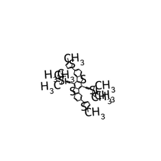 CC[Si](C#Cc1c2sc3ccc(-c4ccc(C)s4)cc3c2c(C#C[Si](CC)(CC)CC)c2sc3ccc(-c4ccc(C)s4)cc3c12)(CC)CC